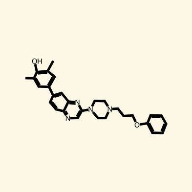 Cc1cc(-c2ccc3ncc(N4CCN(CCCOc5ccccc5)CC4)nc3c2)cc(C)c1O